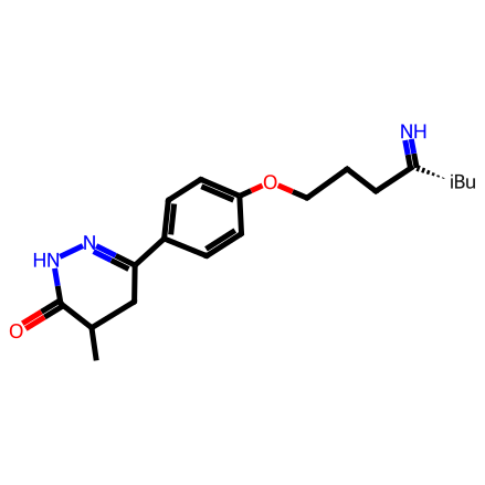 CC[C@@H](C)C(=N)CCCOc1ccc(C2=NNC(=O)C(C)C2)cc1